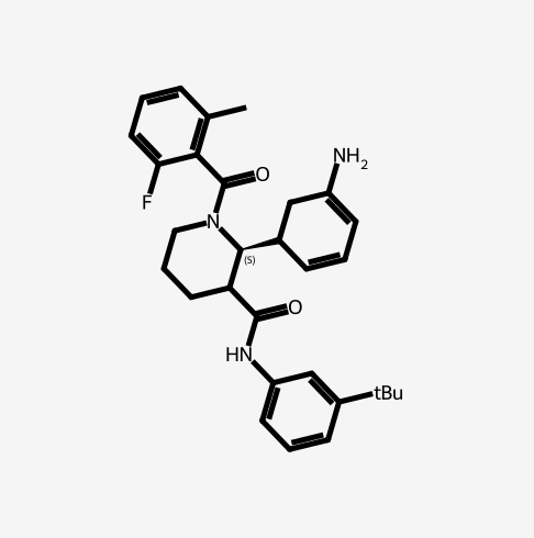 Cc1cccc(F)c1C(=O)N1CCCC(C(=O)Nc2cccc(C(C)(C)C)c2)[C@@H]1C1C=CC=C(N)C1